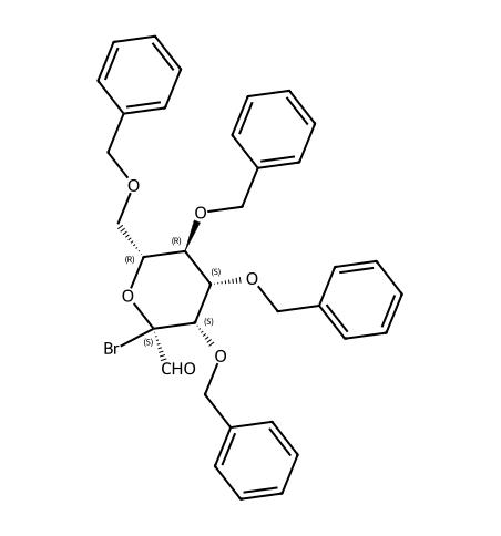 O=C[C@]1(Br)O[C@H](COCc2ccccc2)[C@@H](OCc2ccccc2)[C@H](OCc2ccccc2)[C@@H]1OCc1ccccc1